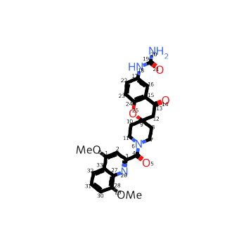 COc1cc(C(=O)N2CCC3(CC2)CC(=O)c2cc(NC(N)=O)ccc2O3)nc2c(OC)cccc12